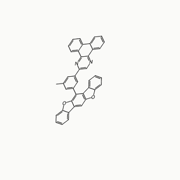 Cc1cc(-c2cnc3c4ccccc4c4ccccc4c3n2)cc(-c2c3oc4ccccc4c3cc3oc4ccccc4c23)c1